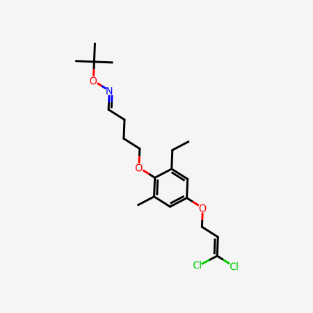 CCc1cc(OCC=C(Cl)Cl)cc(C)c1OCCC/C=N/OC(C)(C)C